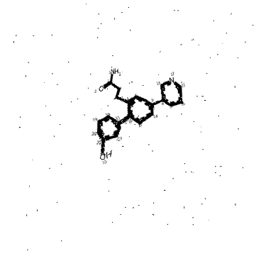 NC(=O)CCc1cc(-c2cccnc2)ccc1-c1cccc(O)c1